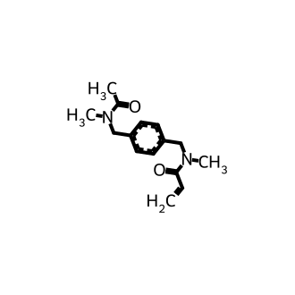 C=CC(=O)N(C)Cc1ccc(CN(C)C(C)=O)cc1